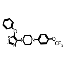 FC(F)(F)Oc1ccc(N2CCN(c3n[c]sc3Oc3ccccc3)CC2)cc1